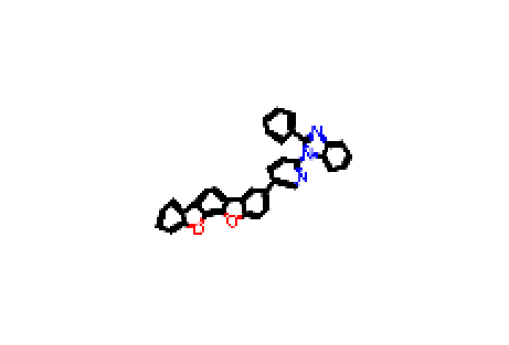 c1ccc(-c2nc3ccccc3n2-c2ccc(-c3ccc4oc5c(ccc6c7ccccc7oc65)c4c3)cn2)cc1